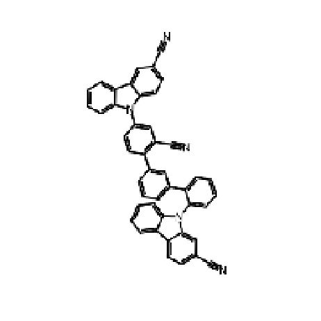 N#Cc1ccc2c(c1)c1ccccc1n2-c1ccc(-c2cccc(-c3ccccc3-n3c4ccccc4c4ccc(C#N)cc43)c2)c(C#N)c1